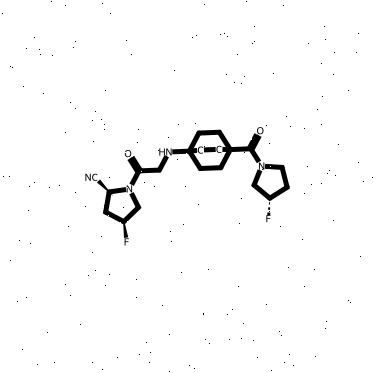 N#C[C@@H]1C[C@H](F)CN1C(=O)CNC12CCC(C(=O)N3CC[C@H](F)C3)(CC1)CC2